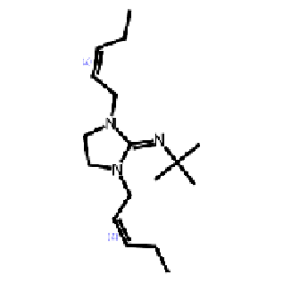 CC/C=C\CN1CCN(C/C=C\CC)C1=NC(C)(C)C